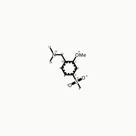 COc1cc(S(C)(=O)=O)ccc1CN(C)C